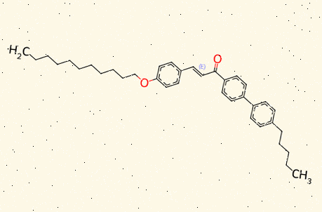 [CH2]CCCCCCCCCCOc1ccc(/C=C/C(=O)c2ccc(-c3ccc(CCCCC)cc3)cc2)cc1